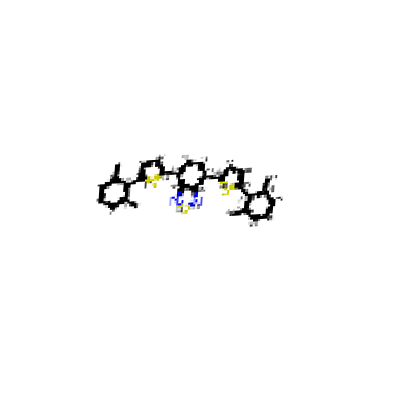 Cc1cccc(C)c1-c1ccc(-c2ccc(-c3ccc(-c4c(C)cccc4C)s3)c3nsnc23)s1